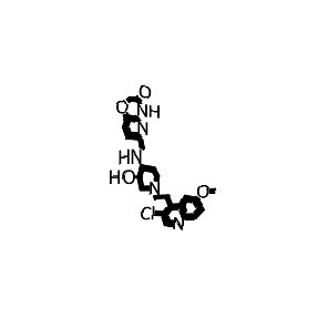 COc1ccc2ncc(Cl)c(CCN3CC[C@@H](NCc4ccc5c(n4)NC(=O)CO5)[C@@H](O)C3)c2c1